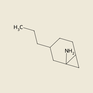 CCCC1CCC2CC2(N)C1